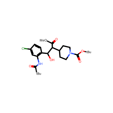 COC(=O)C(C1CCN(C(=O)OC(C)(C)C)CC1)C(O)c1ccc(Cl)cc1NC(=O)C(C)(C)C